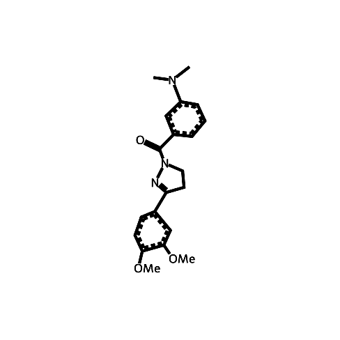 COc1ccc(C2=NN(C(=O)c3cccc(N(C)C)c3)CC2)cc1OC